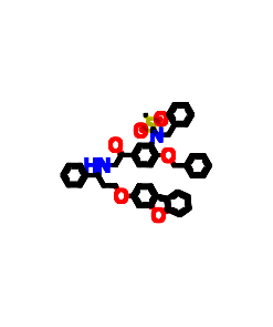 CS(=O)(=O)N(Cc1ccccc1)c1cc(C(=O)CNC(CCOc2ccc3c(c2)oc2ccccc23)c2ccccc2)ccc1OCc1ccccc1